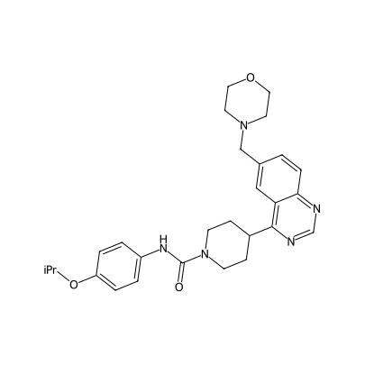 CC(C)Oc1ccc(NC(=O)N2CCC(c3ncnc4ccc(CN5CCOCC5)cc34)CC2)cc1